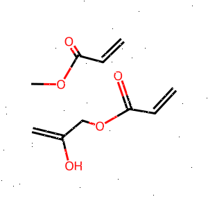 C=CC(=O)OC.C=CC(=O)OCC(=C)O